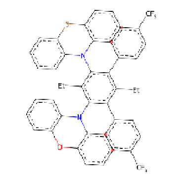 CCc1c(-c2ccc(C(F)(F)F)cc2)c(N2c3ccccc3Oc3ccccc32)c(CC)c(N2c3ccccc3Sc3ccccc32)c1-c1ccc(C(F)(F)F)cc1